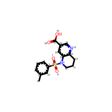 Cc1cccc(S(=O)(=O)N2CCCc3ncc(C(=O)O)cc32)c1